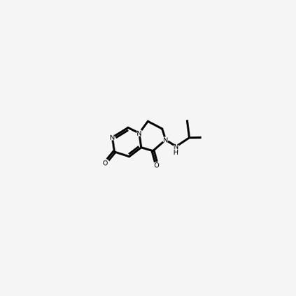 CC(C)NN1CCn2cnc(=O)cc2C1=O